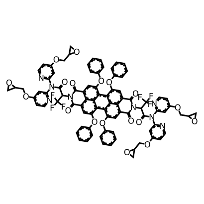 O=C(C(N1C(=O)c2cc(Oc3ccccc3)c3c4c(Oc5ccccc5)cc5c6c(cc(Oc7ccccc7)c(c7c(Oc8ccccc8)cc(c2c37)C1=O)c64)C(=O)N(C(C(=O)N(c1cc(OCC2CO2)ccn1)c1cc(OCC2CO2)ccn1)C(F)(F)F)C5=O)C(F)(F)F)N(c1cc(OCC2CO2)ccn1)c1cc(OCC2CO2)ccn1